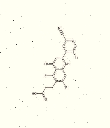 N#Cc1ccc(Cl)c(-c2cc(=O)c3c(F)c(CCC(=O)O)c(F)cc3[nH]2)c1